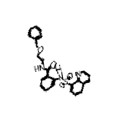 O=C(NCCOCc1ccccc1)c1ccccc1NS(=O)(=O)c1cccc2cccnc12